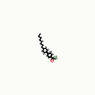 CCCCCCCCC1CCC(c2ccc(C(=O)Cl)cc2)CC1